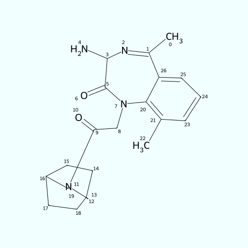 CC1=NC(N)C(=O)N(CC(=O)N2CC3CCC(CC3)C2)c2c(C)cccc21